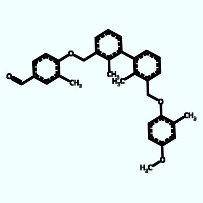 COc1ccc(OCc2cccc(-c3cccc(COc4ccc(C=O)cc4C)c3C)c2C)c(C)c1